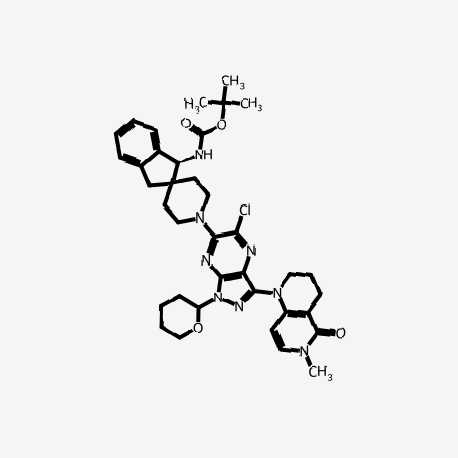 Cn1ccc2c(c1=O)CCCN2c1nn(C2CCCCO2)c2nc(N3CCC4(CC3)Cc3ccccc3[C@H]4NC(=O)OC(C)(C)C)c(Cl)nc12